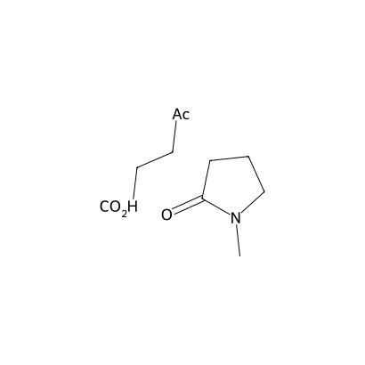 CC(=O)CCC(=O)O.CN1CCCC1=O